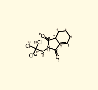 O=C1C2=CCCCC2C(=O)N1SC(Cl)(Cl)Cl